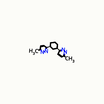 Cc1ccc([C@@H]2CCC[C@H](c3ccc(C)nn3)C2)nn1